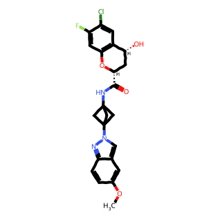 COc1ccc2nn(C34CC(NC(=O)[C@H]5C[C@@H](O)c6cc(Cl)c(F)cc6O5)(C3)C4)cc2c1